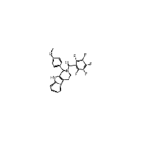 COc1ccc(C2c3[nH]c4ccccc4c3CCN2C(=O)c2c(F)c(F)c(F)c(F)c2F)cc1